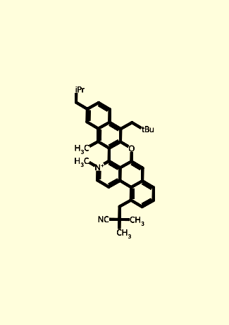 Cc1c2c(c(CC(C)(C)C)c3ccc(CC(C)C)cc13)Oc1cc3cccc(CC(C)(C)C#N)c3c3cc[n+](C)c-2c13